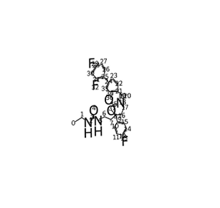 CCNC(=O)NCCC1(c2ccc(F)cc2)CCN([C@@H](C)c2ccc(-c3ccc(F)cc3F)cc2)C(=O)O1